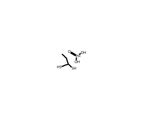 CCC(S)S.O=[PH](O)O